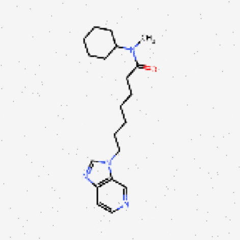 CN(C(=O)CCCCCCn1cnc2ccncc21)C1CCCCC1